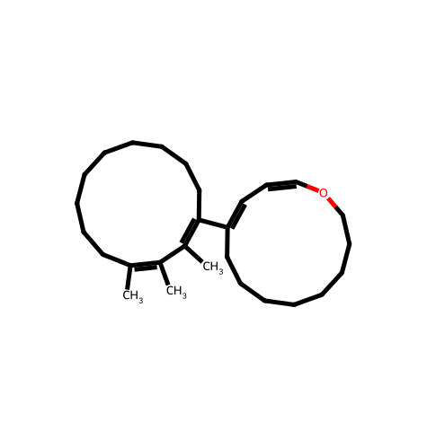 CC1=C(C)C(C)=C(C2=CC=COCCCCCCCC2)CCCCCCCCC1